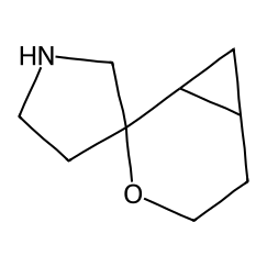 C1CC2(CN1)OCCC1CC12